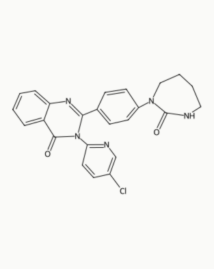 O=C1NCCCCN1c1ccc(-c2nc3ccccc3c(=O)n2-c2ccc(Cl)cn2)cc1